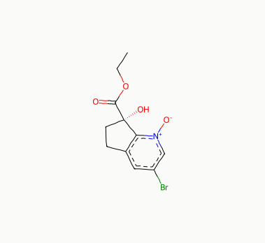 CCOC(=O)[C@]1(O)CCc2cc(Br)c[n+]([O-])c21